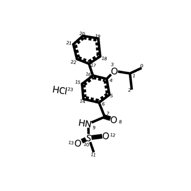 CC(C)Oc1cc(C(=O)NS(C)(=O)=O)ccc1-c1ccccc1.Cl